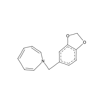 C1=CC=CN(Cc2ccc3c(c2)OCO3)C=C1